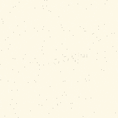 NC(=O)[C@@H]1CCCN1C(=O)c1ccc(-c2ccc(OCC3CCN(CC4(F)CCC4)CC3)cc2)cc1